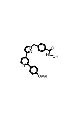 COc1ccc(-c2cc(-c3ccn(Cc4ccc(C(=O)NO)cc4)n3)ccn2)cc1